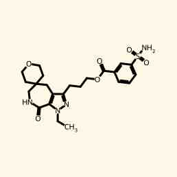 CCn1nc(CCCOC(=O)c2cccc(S(N)(=O)=O)c2)c2c1C(=O)NCC1(CCOCC1)C2